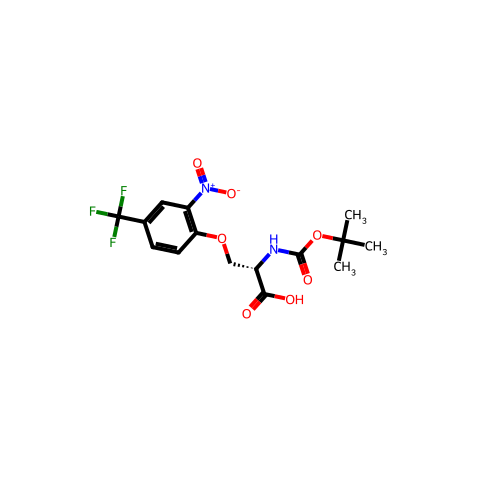 CC(C)(C)OC(=O)N[C@@H](COc1ccc(C(F)(F)F)cc1[N+](=O)[O-])C(=O)O